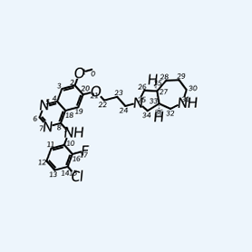 COc1cc2ncnc(Nc3cccc(Cl)c3F)c2cc1OCCCN1C[C@H]2CCCNC[C@H]2C1